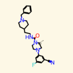 C[C@@H]1CN(c2cc(F)cc(C#N)c2)CCN1C(=O)NCCC1CCN(Cc2ccccc2)CC1